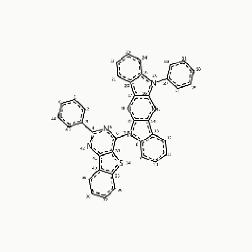 c1ccc(-c2nc(-n3c4ccccc4c4cc5c(cc43)c3ccccc3n5-c3ccccc3)c3sc4ccccc4c3n2)cc1